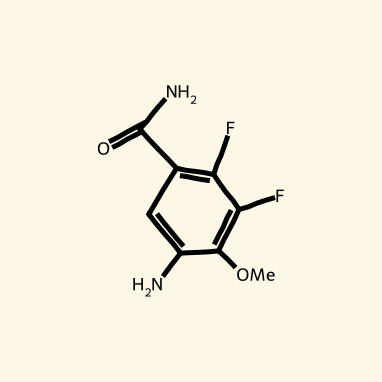 COc1c(N)cc(C(N)=O)c(F)c1F